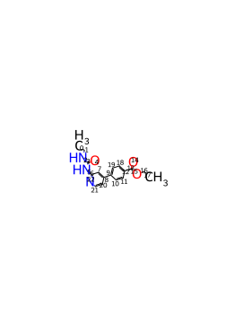 CCNC(=O)Nc1cc(-c2ccc(C(=O)OCC)cc2)ccn1